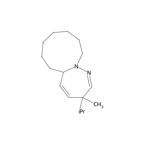 CC(C)C1(C)C=CC2CCCCCCCN2N=C1